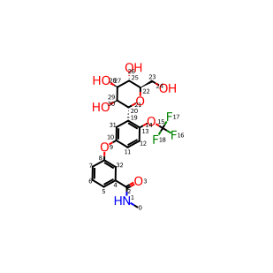 CNC(=O)c1cccc(Oc2ccc(OC(F)(F)F)c([C@H]3O[C@H](CO)[C@@H](O)[C@H](O)[C@@H]3O)c2)c1